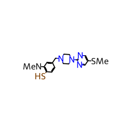 CNc1cc(CN2CCN(c3ncc(SC)cn3)CC2)ccc1S